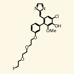 COc1c(O)c(Cl)cc(C=C2N=CC=N2)c1-c1cccc(OCCOCCOCCF)c1